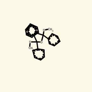 COC(OC(OC)(c1ccccc1)c1ccccc1)(c1ccccc1)c1ccccc1